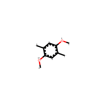 [CH2]c1cc(OC)c([CH2])cc1OC